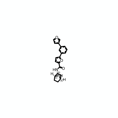 O=C(N[C@@H]1C[C@H]2CC[C@@H]1N2)c1ccc(-c2cccc(-c3ccoc3)c2)o1